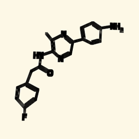 Cc1nc(-c2ccc(N)cc2)cnc1NC(=O)Cc1ccc(F)cc1